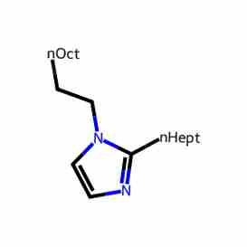 CCCCCCCCCCn1ccnc1CCCCCCC